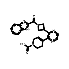 O=C(O)N1CC=C(c2nccnc2C2CN(C(=O)c3nc4ccccc4[nH]3)C2)CC1